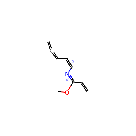 C=C=C/C=C\N=C(/C=C)OC